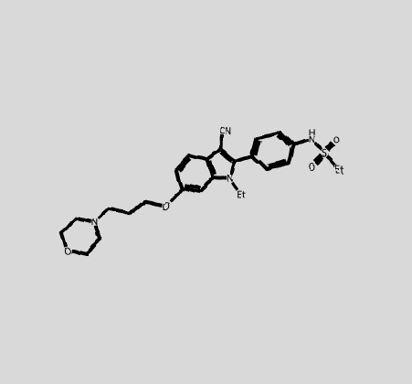 CCn1c(-c2ccc(NS(=O)(=O)CC)cc2)c(C#N)c2ccc(OCCCN3CCOCC3)cc21